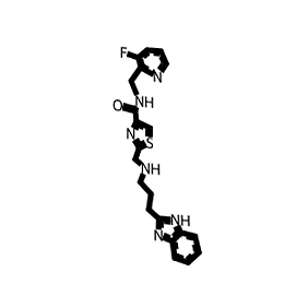 O=C(NCc1ncccc1F)c1csc(CNCCCc2nc3ccccc3[nH]2)n1